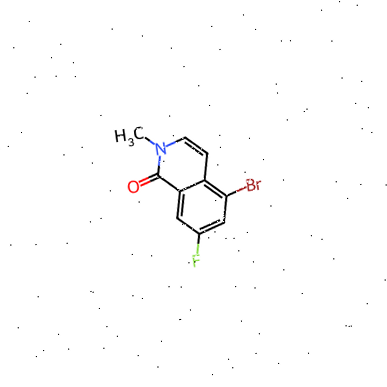 Cn1ccc2c(Br)cc(F)cc2c1=O